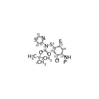 CC(C)(C)OC(=O)N(Sc1cc(Cl)c(NF)cc1F)c1cscn1